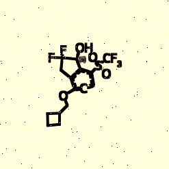 O=S(=O)(c1ccc(OCC2CCC2)c2c1[C@H](O)C(F)(F)C2)C(F)(F)F